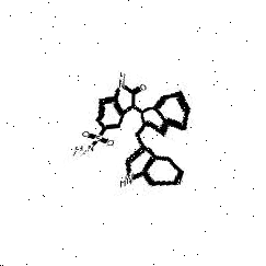 NS(=O)(=O)c1ccc2c(c1)C(C1C(Cc3c[nH]c4c3CCCC4)=Cc3ccccc31)C(=O)N2